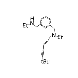 CCNCc1cccc(CN(CC)CC=CC#CC(C)(C)C)c1